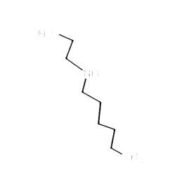 [CH2]CCCCCNCCC